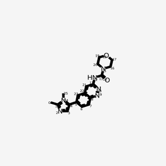 Cc1ncc(-c2ccc3nnc(NC(=O)N4CCOCC4)cc3c2)n1C